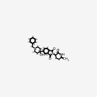 C=C1CCC(N2C(=O)c3ccc(C4(O)CCN(Cc5ccccc5)CC4)cc3C2=O)C(=O)N1